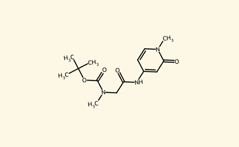 CN(CC(=O)Nc1ccn(C)c(=O)c1)C(=O)OC(C)(C)C